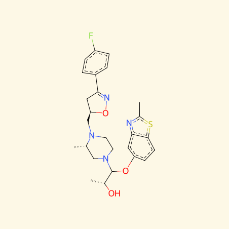 Cc1nc2cc(OC([C@@H](C)O)N3CCN(C[C@H]4CC(c5ccc(F)cc5)=NO4)[C@@H](C)C3)ccc2s1